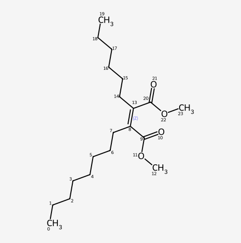 CCCCCCCC/C(C(=O)OC)=C(\CCCCCC)C(=O)OC